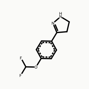 FC(F)Oc1ccc(C2=NNCC2)cc1